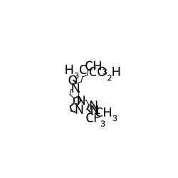 Cn1nc(Cn2c3c(c4cccnc42)CCN(C(=O)CCCC(C)(C)C(=O)O)C3)cc1C(F)(F)F